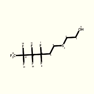 OCCSCCC(F)(F)C(F)(F)C(F)(F)C(F)(F)F